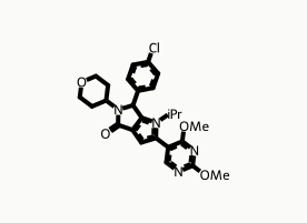 COc1ncc(-c2cc3c(n2C(C)C)C(c2ccc(Cl)cc2)N(C2CCOCC2)C3=O)c(OC)n1